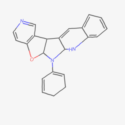 C1=CC(N2C3Nc4ccccc4C=C3C3c4cnccc4OC32)=CCC1